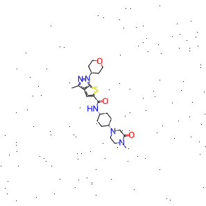 Cc1nn(C2CCOCC2)c2sc(C(=O)N[C@H]3CC[C@@H](N4CCN(C)C(=O)C4)CC3)cc12